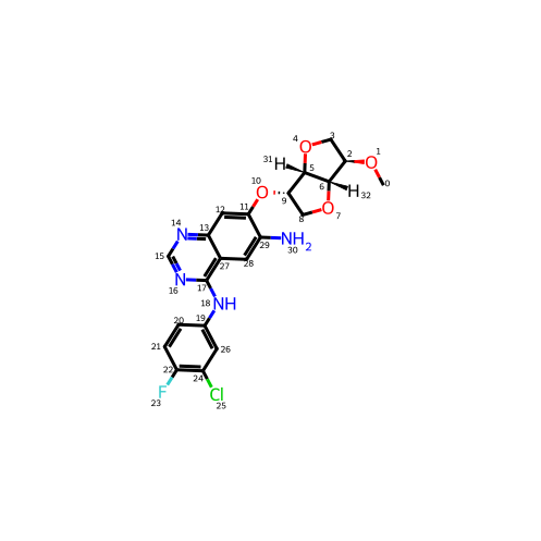 CO[C@@H]1CO[C@@H]2[C@H]1OC[C@@H]2Oc1cc2ncnc(Nc3ccc(F)c(Cl)c3)c2cc1N